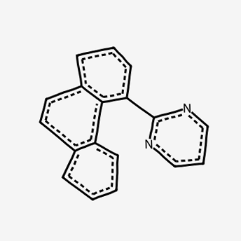 c1cnc(-c2cccc3ccc4ccccc4c23)nc1